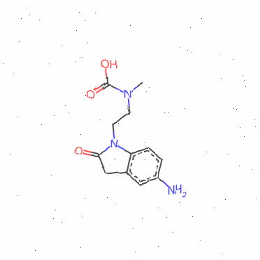 CN(CCN1C(=O)Cc2cc(N)ccc21)C(=O)O